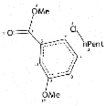 CCCCCCl.COC(=O)c1cccc(OC)c1